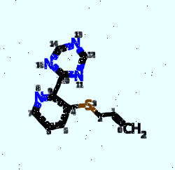 C=CCSc1cccnc1-c1ncncn1